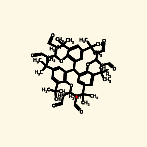 CC(C)(C)c1cc(C(c2cc(C(C)(C)C)cc(C(C)(C)C)c2OC(NC=O)NC=O)c2cc(C(C)(C)C)cc(C(C)(C)C)c2OC(NC=O)NC=O)c(OC(NC=O)NC=O)c(C(C)(C)C)c1